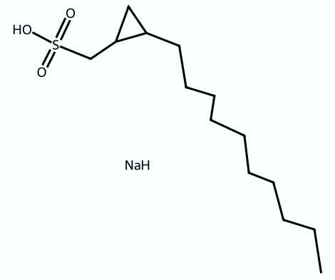 CCCCCCCCCCC1CC1CS(=O)(=O)O.[NaH]